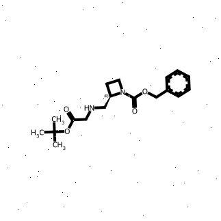 CC(C)(C)OC(=O)CNC[C@H]1CCN1C(=O)OCc1ccccc1